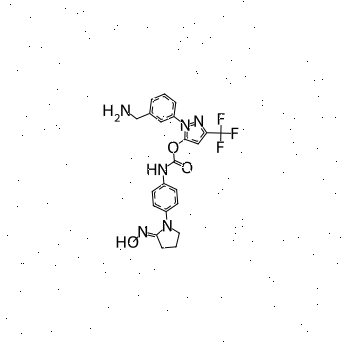 NCc1cccc(-n2nc(C(F)(F)F)cc2OC(=O)Nc2ccc(N3CCCC3=NO)cc2)c1